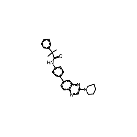 CC(C)(C(=O)Nc1ccc(-c2ccc3ncc(N4CCCCC4)nc3c2)cc1)c1ccccc1